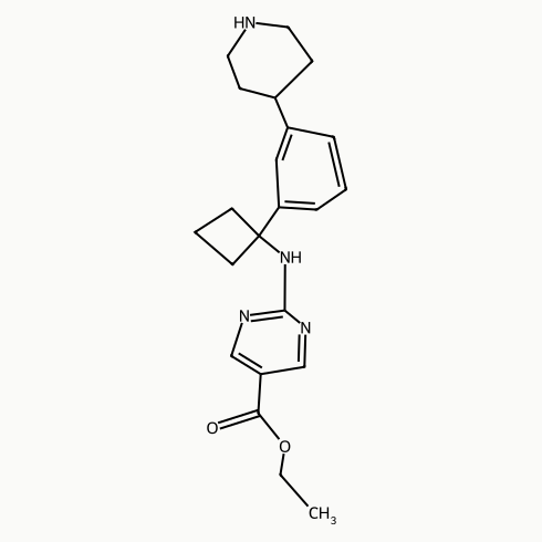 CCOC(=O)c1cnc(NC2(c3cccc(C4CCNCC4)c3)CCC2)nc1